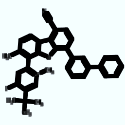 Cc1ccc2c(oc3c(-c4cccc(-c5ccccc5)c4)ccc(C#N)c32)c1-c1cc(F)c(C(C)(C)C)c[n+]1C